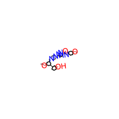 CCOc1cc(CN2CCN(c3ccc(C(=O)Nc4ccc(OC)cc4)nn3)CC2)cc(-c2cccc(O)c2)c1